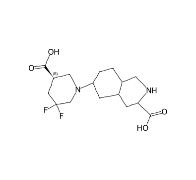 O=C(O)C1CC2CC(N3C[C@H](C(=O)O)CC(F)(F)C3)CCC2CN1